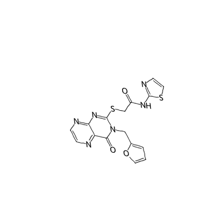 O=C(CSc1nc2nccnc2c(=O)n1Cc1ccco1)Nc1nccs1